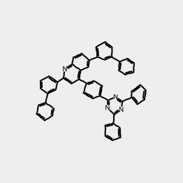 c1ccc(-c2cccc(-c3ccc4nc(-c5cccc(-c6ccccc6)c5)cc(-c5ccc(-c6nc(-c7ccccc7)nc(-c7ccccc7)n6)cc5)c4c3)c2)cc1